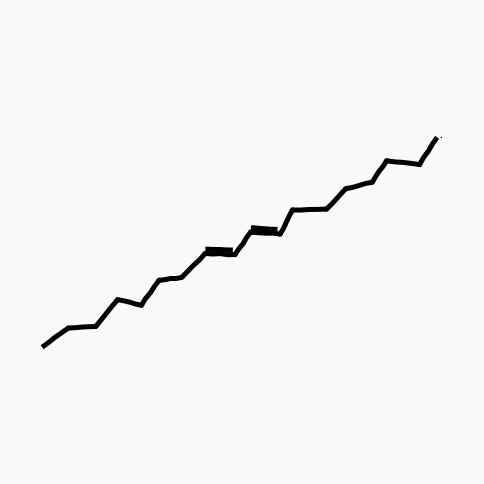 [CH2]CCCCCCC=CC=CCCCCCCC